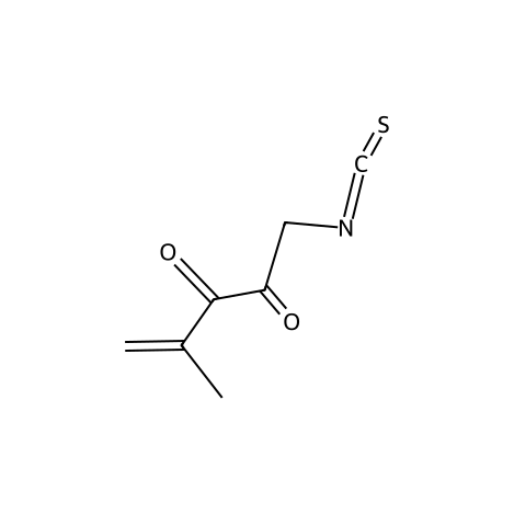 C=C(C)C(=O)C(=O)CN=C=S